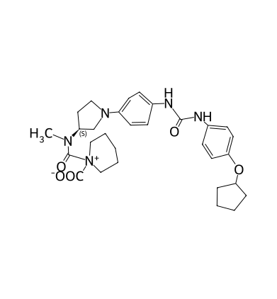 CN(C(=O)[N+]1(C(=O)[O-])CCCCC1)[C@H]1CCN(c2ccc(NC(=O)Nc3ccc(OC4CCCC4)cc3)cc2)C1